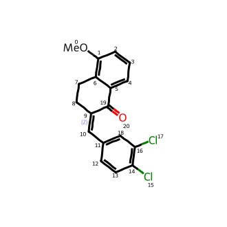 COc1cccc2c1CC/C(=C/c1ccc(Cl)c(Cl)c1)C2=O